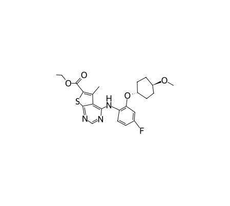 CCOC(=O)c1sc2ncnc(Nc3ccc(F)cc3O[C@H]3CC[C@H](OC)CC3)c2c1C